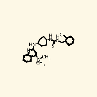 CN(C)c1cc(N[C@H]2CC[C@@H](NC(=S)NCc3ccccc3Cl)CC2)nc2ccccc12